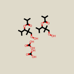 CC(C)C(=O)OC(C(C)C)C(C)(C)COO.CC(C)C(=O)OC(C(C)C)C(C)(C)COO.O=C(O)O.O=C(O)O